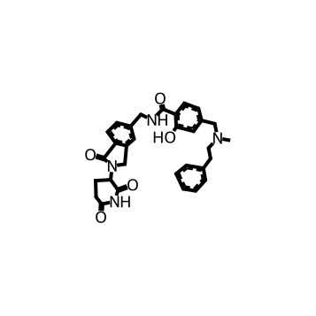 CN(CCc1ccccc1)Cc1ccc(C(=O)NCc2ccc3c(c2)CN(C2CCC(=O)NC2=O)C3=O)c(O)c1